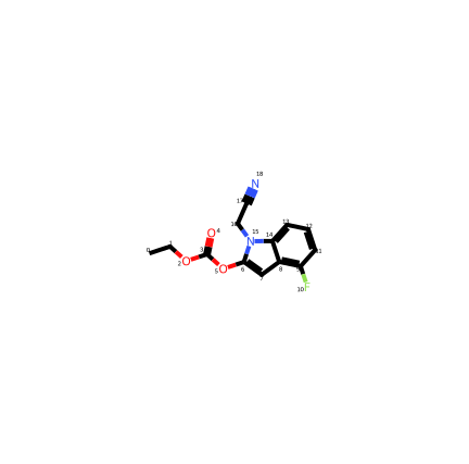 CCOC(=O)Oc1cc2c(F)cccc2n1CC#N